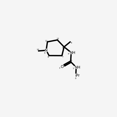 CC(C)NC(=O)NC1(C)CCN(C)CC1